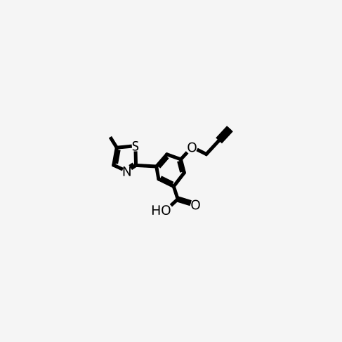 C#CCOc1cc(C(=O)O)cc(-c2ncc(C)s2)c1